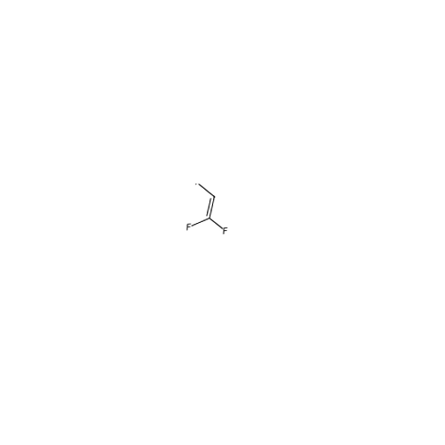 [CH2]C=C(F)F